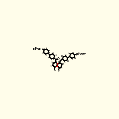 CCCCCC1CCC(C2CCC(C(OC(c3ccc(C)cc3)C3CCC(C4CCC(CCCCC)CC4)CC3)c3ccc(C)cc3)CC2)CC1